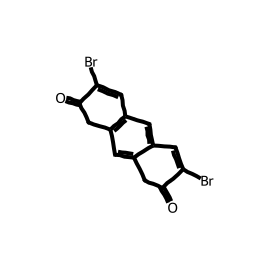 O=C1Cc2cc3c(cc2C=C1Br)C=C(Br)C(=O)C3